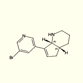 Brc1cncc(C2=CC[C@H]3CCCN[C@@H]23)c1